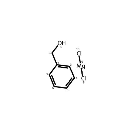 OCc1ccccc1.[Cl][Mg][Cl]